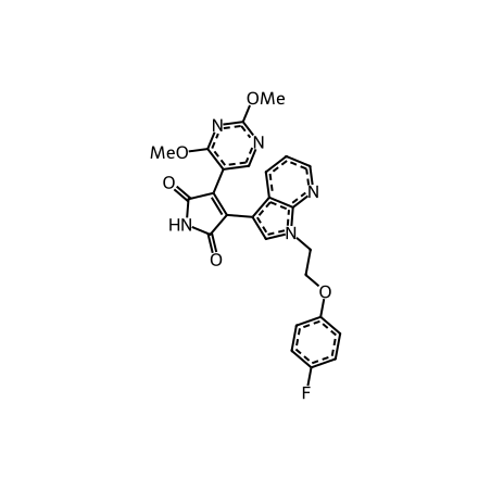 COc1ncc(C2=C(c3cn(CCOc4ccc(F)cc4)c4ncccc34)C(=O)NC2=O)c(OC)n1